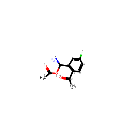 CC(=O)OC(N)c1cc(Cl)ccc1C(C)=O